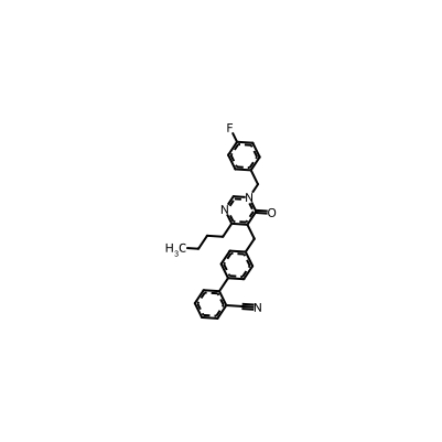 CCCCc1ncn(Cc2ccc(F)cc2)c(=O)c1Cc1ccc(-c2ccccc2C#N)cc1